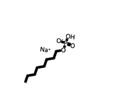 CCCCCCCCOP(=O)([O-])O.[Na+]